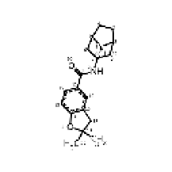 CN1C2CCC1CC(NC(=O)c1ccc3c(c1)CC(C)(C)O3)C2